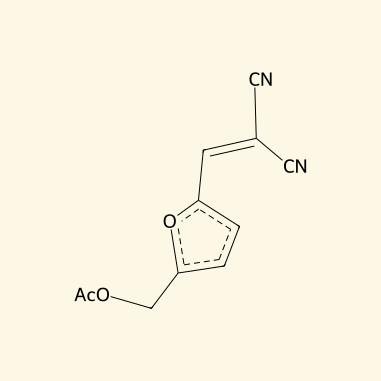 CC(=O)OCc1ccc(C=C(C#N)C#N)o1